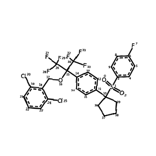 O=S(=O)(c1ccc(F)cc1)C1(c2ccc(C(OCc3c(Cl)cccc3Cl)(C(F)(F)F)C(F)(F)F)cc2)CCCC1